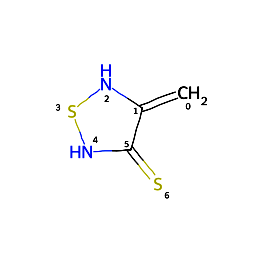 C=C1NSNC1=S